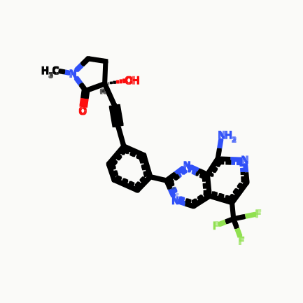 CN1CC[C@@](O)(C#Cc2cccc(-c3ncc4c(C(F)(F)F)cnc(N)c4n3)c2)C1=O